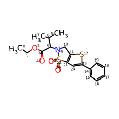 CCOC(=O)C(C(C)C)N1Cc2sc(-c3ccccc3)cc2S1(=O)=O